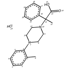 Cc1ccccc1N1CCN(C(C)(C(=O)O)c2ccccc2)CC1.Cl